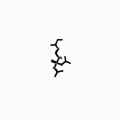 CCC(C)N=CNP(=S)(OC(C)C)SC(C)C